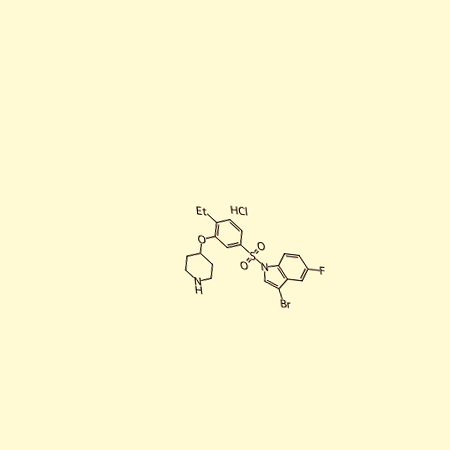 CCc1ccc(S(=O)(=O)n2cc(Br)c3cc(F)ccc32)cc1OC1CCNCC1.Cl